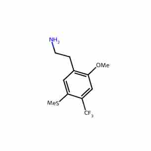 COc1cc(C(F)(F)F)c(SC)cc1CCN